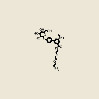 NCCOCCOCCNC(=O)c1cc(-c2ccc(OC3OC(CO)C(O)C(O)C3O)cc2)cc([N+](=O)[O-])c1